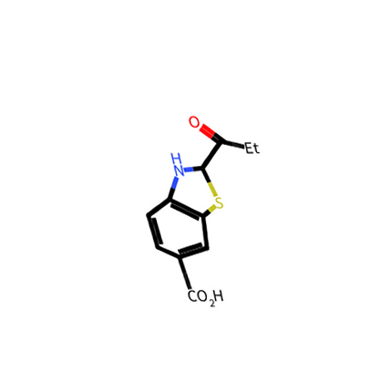 CCC(=O)C1Nc2ccc(C(=O)O)cc2S1